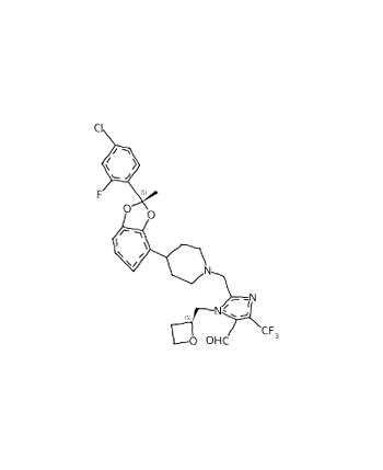 C[C@]1(c2ccc(Cl)cc2F)Oc2cccc(C3CCN(Cc4nc(C(F)(F)F)c(C=O)n4C[C@@H]4CCO4)CC3)c2O1